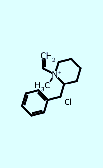 C=C[N+]1(C)CCCCC1Cc1ccccc1.[Cl-]